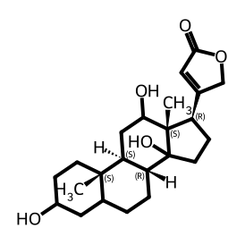 C[C@]12CCC(O)CC1CC[C@@H]1[C@@H]2CC(O)[C@]2(C)[C@@H](C3=CC(=O)OC3)CCC12O